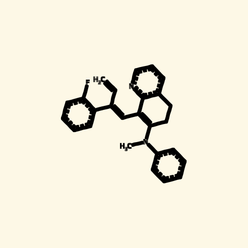 C=C/C(=C\C1=C(N(C)c2ccccc2)CCc2cccnc21)c1ccccc1F